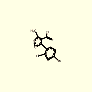 Cc1noc(-c2ccc(Br)cc2Cl)c1C(=O)O